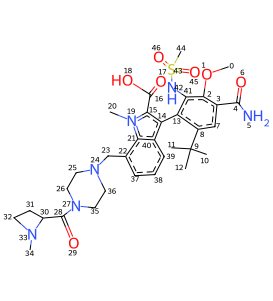 COc1c(C(N)=O)cc(C(C)(C)C)c(-c2c(C(=O)O)n(C)c3c(CN4CCN(C(=O)C5CCN5C)CC4)cccc23)c1NS(C)(=O)=O